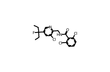 CCC(F)(CC)c1cnc(CNC(=O)c2c(Cl)cccc2Cl)c(Cl)c1